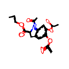 CCCOC(=O)C1Cc2cc(OC(C)=O)c(OC(C)=O)cc2N1C(C)=O